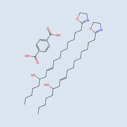 CCCCCC(O)CC=CCCCCCCCCC1=NCCO1.CCCCCC(O)CC=CCCCCCCCCC1=NCCO1.O=C(O)c1ccc(C(=O)O)cc1